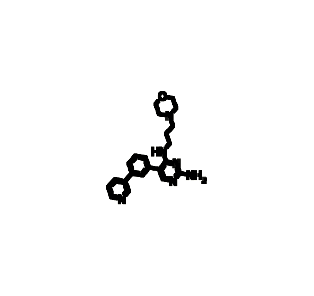 Nc1ncc(-c2cccc(-c3cccnc3)c2)c(NCCCN2CCOCC2)n1